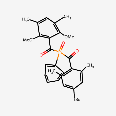 COc1c(C)cc(C)c(OC)c1C(=O)P(=O)(C(=O)c1c(C)cc(C(C)(C)C)cc1C)c1ccccc1